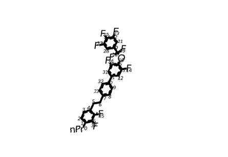 CCCc1ccc(CCc2ccc(-c3cc(F)c(OC(F)(F)c4cc(F)c(F)c(F)c4)c(F)c3)cc2)c(F)c1F